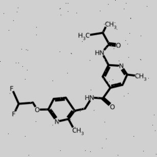 Cc1cc(C(=O)NCc2ccc(OCC(F)F)nc2C)cc(NC(=O)C(C)C)n1